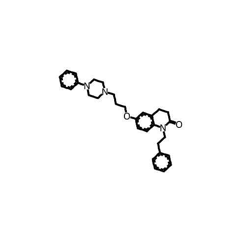 O=C1CCc2cc(OCCCN3CCN(c4ccccc4)CC3)ccc2N1CCc1ccccc1